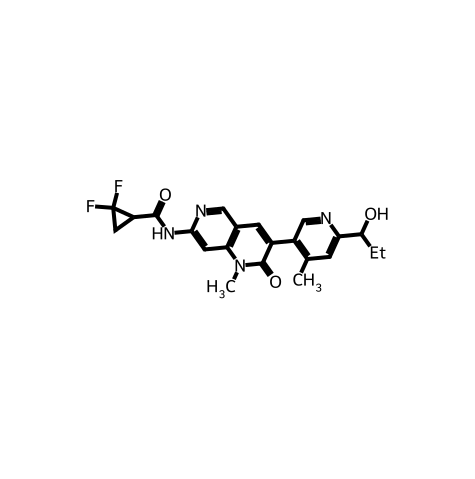 CCC(O)c1cc(C)c(-c2cc3cnc(NC(=O)C4CC4(F)F)cc3n(C)c2=O)cn1